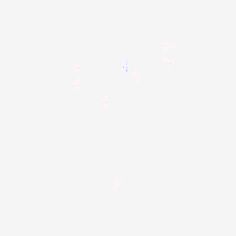 COC(=O)CCCC(=O)Nc1ccc(OCCCC/C=C/c2ccc(OC)cc2)c(CCC(=O)OC(C)(C)C)c1